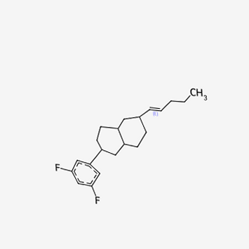 CCC/C=C/C1CCC2CC(c3cc(F)cc(F)c3)CCC2C1